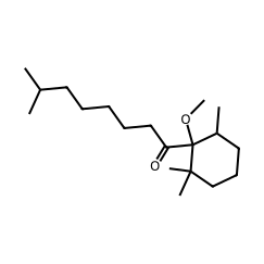 COC1(C(=O)CCCCCC(C)C)C(C)CCCC1(C)C